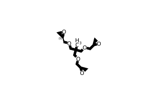 CC(COCC1CO1)(COCC1CO1)COC[C@H]1CO1